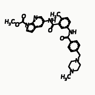 COC(=O)n1ccc2cc(NC(=O)c3cc(NC(=O)c4ccc(CN5CCN(C)CC5)cc4)ccc3C)cnc21